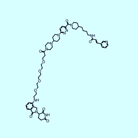 O=C(/C=C/c1cccnc1)NCCCCC1CCN(C(=O)c2ccc(N3CCC(N4CCN(C(=O)CCOCCOCCOCCOCCNc5cccc6c5CN(C5CCC(=O)NC5=O)C6=O)CC4)CC3)nn2)CC1